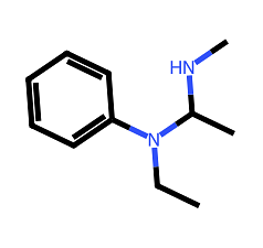 CCN(c1ccccc1)C(C)NC